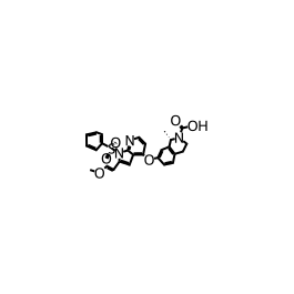 COC=Cc1cc2c(Oc3ccc4c(c3)[C@H](C)N(C(=O)O)CC4)ccnc2n1S(=O)(=O)c1ccccc1